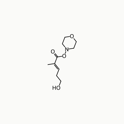 CC(=CCCO)C(=O)ON1CCOCC1